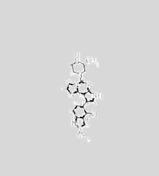 C[C@@H]1CN(c2nc3[nH]cc(-c4ccc5nn(C)cc5c4Cl)c3c3nccn23)CCN1